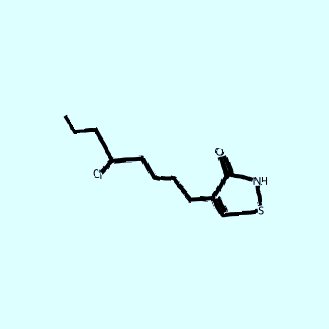 CCCC(Cl)CCCCc1cs[nH]c1=O